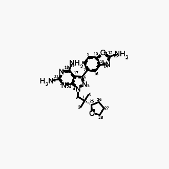 CC(C)(Cn1nc(-c2ccc3oc(N)nc3c2)c2c(N)nc(N)nc21)[C@@H]1CCCO1